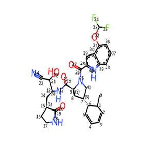 CC1C=CC=CC1[C@@H]1C[C@@H](C(=O)N[C@@H](C[C@@H]2CCNC2=O)C(O)C#N)N(C(=O)c2cc3c(OC(F)F)cccc3[nH]2)C1